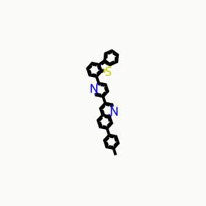 Cc1ccc(-c2ccc3cc(-c4ccc(-c5cccc6c5sc5ccccc56)nc4)cnc3c2)cc1